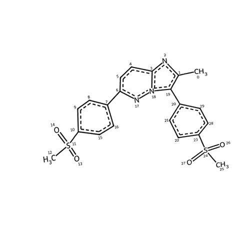 Cc1nc2ccc(-c3ccc(S(C)(=O)=O)cc3)nn2c1-c1ccc(S(C)(=O)=O)cc1